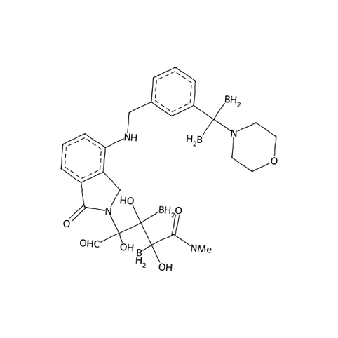 BC(B)(c1cccc(CNc2cccc3c2CN(C(O)(C=O)C(B)(O)C(B)(O)C(=O)NC)C3=O)c1)N1CCOCC1